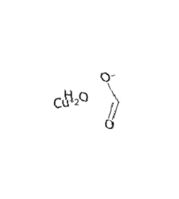 O.O=C[O-].[Cu+]